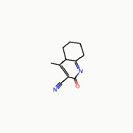 CC1=C(C#N)C(=O)N=C2CCCCC21